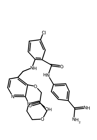 N=C(N)c1ccc(NC(=O)c2cc(Cl)ccc2NCc2ccnc(N3CCOCC3)c2OCC(=O)O)cc1